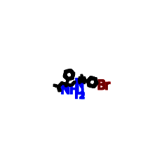 C=C(C)CC(N)(CCN[C@@H](C)c1ccc(Br)cc1)c1ccccc1